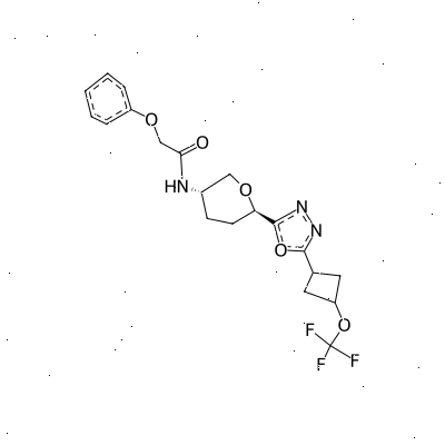 O=C(COc1ccccc1)N[C@H]1CC[C@H](c2nnc(C3CC(OC(F)(F)F)C3)o2)OC1